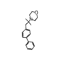 CC(C)(Cc1ccc(-c2ccccc2)cc1)N1CCOCC1